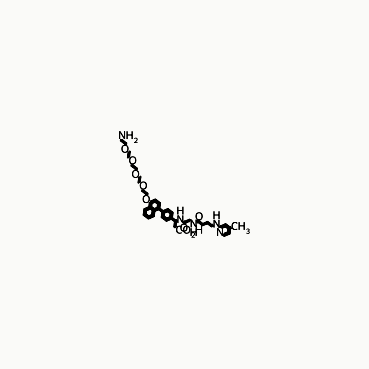 Cc1ccnc(NCCCC(=O)NCC(=O)NC(CC(=O)O)c2ccc(-c3ccc(OCCOCCOCCOCCOCCN)c4ccccc34)cc2)c1